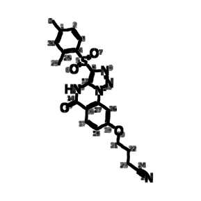 Cc1ccc(S(=O)(=O)c2nnn3c2[nH]c(=O)c2ccc(OCCCC#N)cc23)c(C)c1